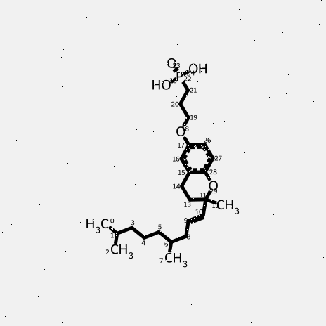 CC(C)CCCC(C)CC=CC1(C)CCc2cc(OCCCP(=O)(O)O)ccc2O1